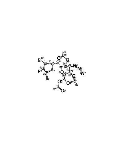 CC(=O)OC[C@H]1O[C@H](Sc2cc(Br)c(F)c(Br)c2)[C@H](OC(C)=O)[C@@H](N=[N+]=[N-])[C@H]1OC(C)=O